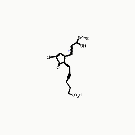 CCCCCC(O)/C=C/C1C=C(Cl)C(=O)/C1=C\C#CCCCC(=O)O